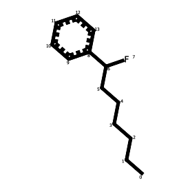 CCCCCCC(F)c1ccccc1